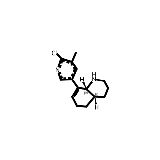 Cc1cc(C2=CCC[C@H]3CCCN[C@@H]23)cnc1Cl